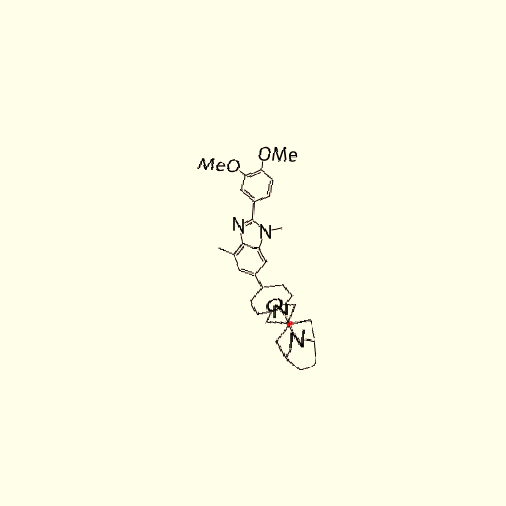 COc1ccc(-c2nc3c(C)cc(C4CCN(C5CC6CCC(C5)N6C5COC5)CC4)cc3n2C)cc1OC